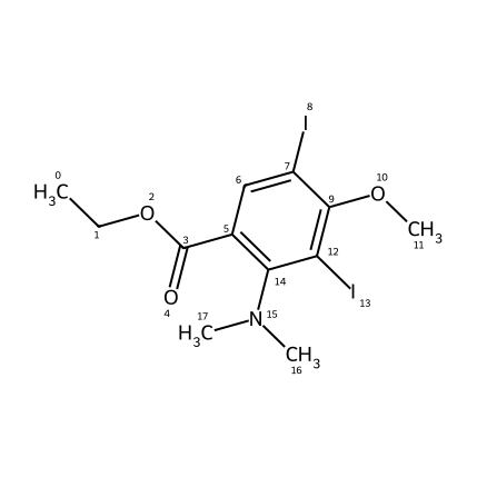 CCOC(=O)c1cc(I)c(OC)c(I)c1N(C)C